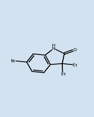 CCC1(CC)C(=O)Nc2cc(Br)ccc21